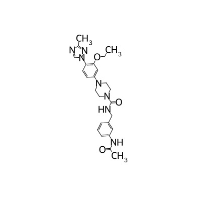 CCOc1cc(N2CCN(C(=O)NCc3cccc(NC(C)=O)c3)CC2)ccc1-n1cnc(C)n1